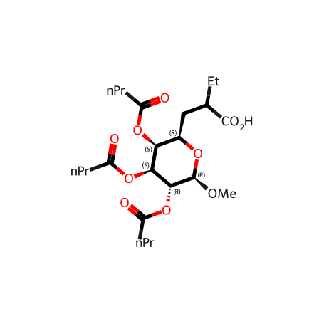 CCCC(=O)O[C@H]1[C@@H](OC(=O)CCC)[C@@H](CC(CC)C(=O)O)O[C@@H](OC)[C@@H]1OC(=O)CCC